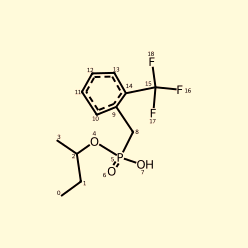 CCC(C)OP(=O)(O)Cc1ccccc1C(F)(F)F